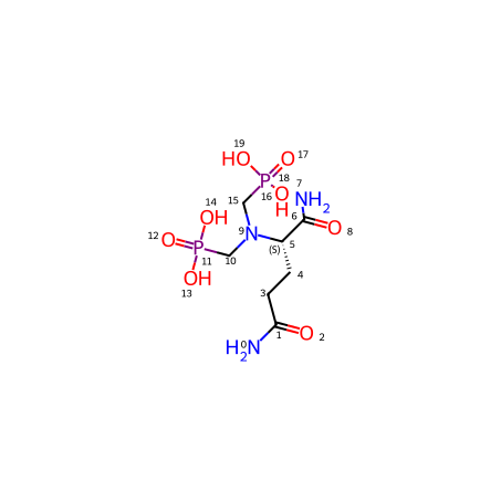 NC(=O)CC[C@@H](C(N)=O)N(CP(=O)(O)O)CP(=O)(O)O